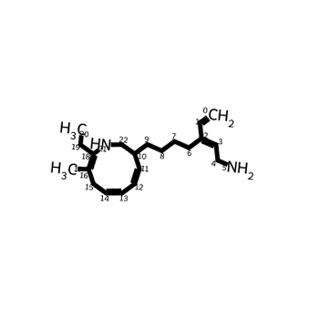 C=C/C(=C/CN)CCCCC1C=C/C=C\C/C(C)=C(/CC)NC1